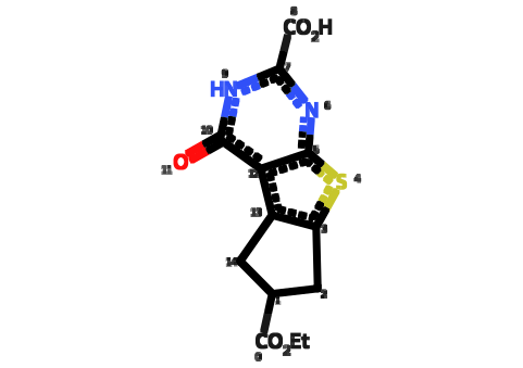 CCOC(=O)C1Cc2sc3nc(C(=O)O)[nH]c(=O)c3c2C1